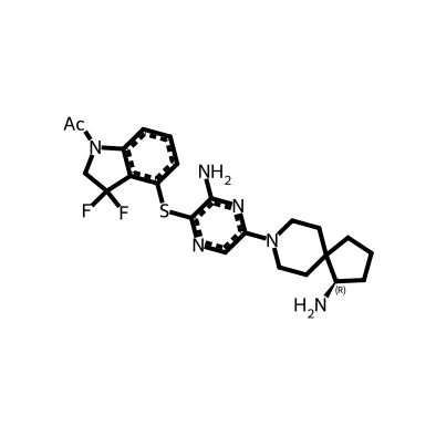 CC(=O)N1CC(F)(F)c2c(Sc3ncc(N4CCC5(CCC[C@H]5N)CC4)nc3N)cccc21